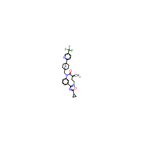 C=C(CCF)C(=O)N(CC12CCC(c3ccc(C(F)(F)F)cn3)(CC1)CC2)c1cccc(-c2noc(C3CC3)n2)c1